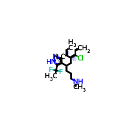 C=C/C(Cl)=C(CC(CCCNC)c1cn[nH]c1C(C)(F)F)\C(C)=C/C